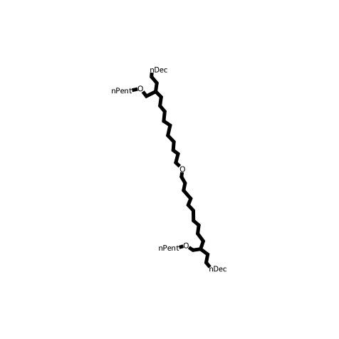 CCCCCCCCCCCCC(CCCCCCCCCCOCCCCCCCCCCC(CCCCCCCCCCCC)COCCCCC)COCCCCC